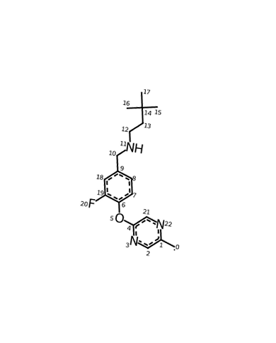 [CH2]c1cnc(Oc2ccc(CNCCC(C)(C)C)cc2F)cn1